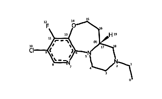 CCN1CCN2c3ncc(Cl)c(F)c3OCC[C@@H]2C1